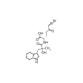 CC(O)(Cc1c[nH]c2ccccc12)C(=O)N[C@@H](CCC(=O)C=[N+]=[N-])C(=O)O